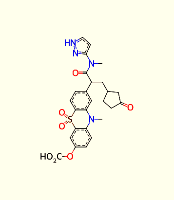 CN(C(=O)C(CC1CCC(=O)C1)c1ccc2c(c1)N(C)c1ccc(OC(=O)O)cc1S2(=O)=O)c1cc[nH]n1